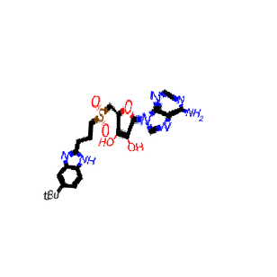 CC(C)(C)C1=CC2N=C(CCCS(=O)(=O)C[C@H]3OC(n4cnc5c(N)ncnc54)[C@H](O)[C@@H]3O)NC2C=C1